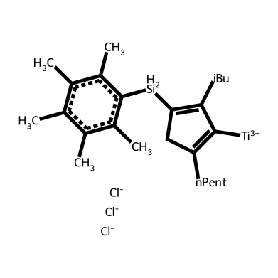 CCCCCC1=[C]([Ti+3])C(C(C)CC)=C([SiH2]c2c(C)c(C)c(C)c(C)c2C)C1.[Cl-].[Cl-].[Cl-]